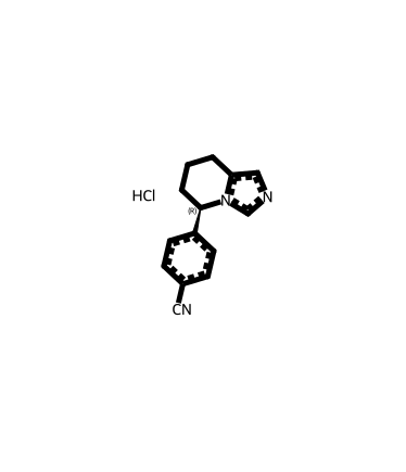 Cl.N#Cc1ccc([C@H]2CCCc3cncn32)cc1